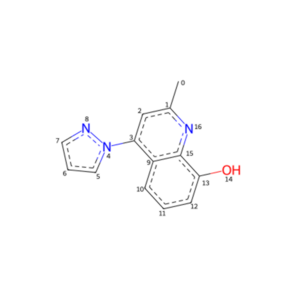 Cc1cc(-n2cccn2)c2cccc(O)c2n1